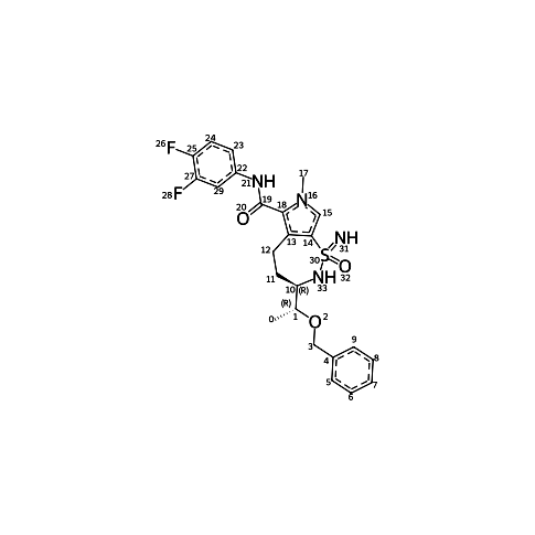 C[C@@H](OCc1ccccc1)[C@H]1CCc2c(cn(C)c2C(=O)Nc2ccc(F)c(F)c2)S(=N)(=O)N1